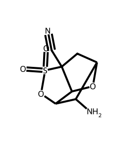 N#CC12CC3OC1C(OS2(=O)=O)C3N